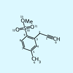 C#CCc1cc(C)ccc1S(=O)(=O)OC